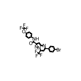 O=C(Nc1ccc(OC(F)(F)F)cc1)c1cc2nc(-c3ccc(Br)cc3)cc(C(F)(F)F)n2n1